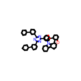 c1ccc(-c2cccc(-c3nc(-c4ccc(-c5cccc6oc7ccc8c9ccccc9n(-c9ccccc9)c8c7c56)cc4)nc(-c4cccc(-c5ccccc5)c4)n3)c2)cc1